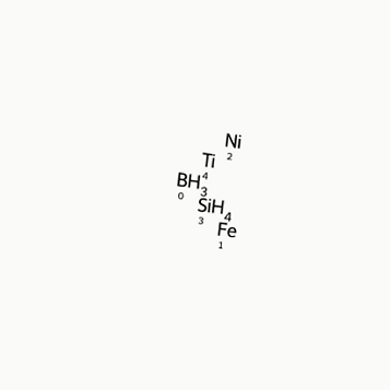 B.[Fe].[Ni].[SiH4].[Ti]